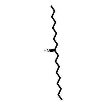 CCCCCCCCCC(=N)CCCCCCCC